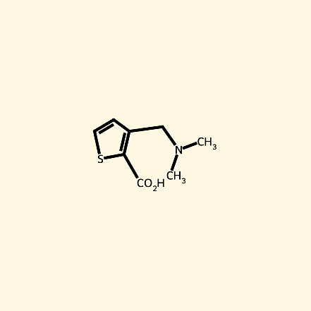 CN(C)Cc1ccsc1C(=O)O